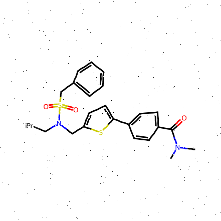 CC(C)CN(Cc1ccc(-c2ccc(C(=O)N(C)C)cc2)s1)S(=O)(=O)Cc1ccccc1